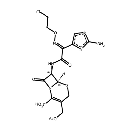 CC(=O)OCC1=C(C(=O)O)N2C(=O)[C@@H](NC(=O)C(=NOCCCl)c3csc(N)n3)[C@H]2SC1